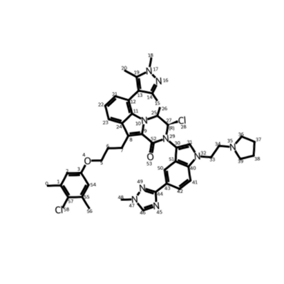 Cc1cc(OCCCc2c3n(c4c(-c5c(C)nn(C)c5C)cccc24)C(C)[C@@H](Cl)N(c2cn(CCN4CCCC4)c4ccc(-c5ncn(C)n5)cc24)C3=O)cc(C)c1Cl